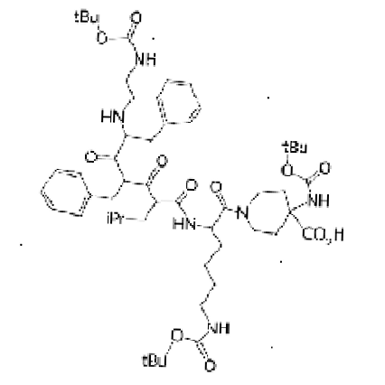 CC(C)CC(C(=O)NC(CCCCNC(=O)OC(C)(C)C)C(=O)N1CCC(NC(=O)OC(C)(C)C)(C(=O)O)CC1)C(=O)C(Cc1ccccc1)C(=O)C(Cc1ccccc1)NCCNC(=O)OC(C)(C)C